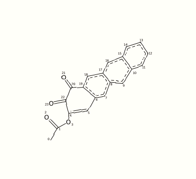 CC(=O)OC1=Cc2cc3cc4ccccc4cc3cc2C(=O)C1=O